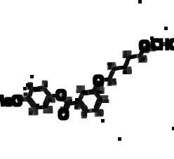 COc1ccc(OC(=O)c2cccc(OCCCCCO[C]=O)c2)cc1